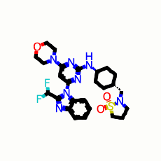 O=S1(=O)CCCN1C[C@H]1CC[C@H](Nc2nc(N3CCOCC3)cc(-n3c(C(F)F)nc4ccccc43)n2)CC1